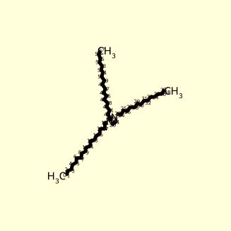 CCCCCCCCCCCCCCCCCCC[n+]1ccn(CCCCCCCCCCCCCCCC)c1CCCCCCCCCCCCCCCCCC